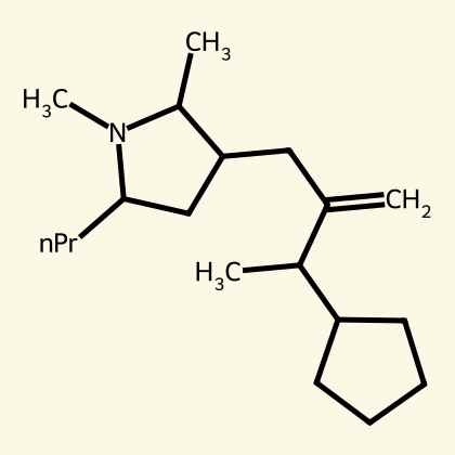 C=C(CC1CC(CCC)N(C)C1C)C(C)C1CCCC1